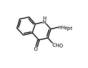 CCCCCCCc1[nH]c2ccccc2c(=O)c1C=O